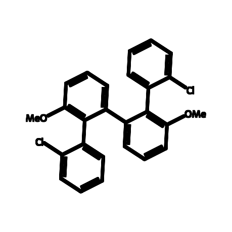 COc1cccc(-c2cccc(OC)c2-c2ccccc2Cl)c1-c1ccccc1Cl